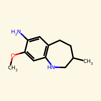 COc1cc2c(cc1N)CCC(C)CN2